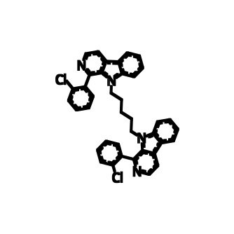 Clc1ccccc1-c1nccc2c3ccccc3n(CCCCCn3c4ccccc4c4ccnc(-c5ccccc5Cl)c43)c12